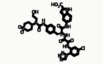 O=C(Nc1cc(Cl)ccc1-n1cnnn1)C(=O)N[C@@H](Cc1ccc(NC(=O)N(CCO)C2CCS(=O)(=O)CC2)cc1)C(=O)Nc1ccc2[nH]c(C(=O)O)cc2c1